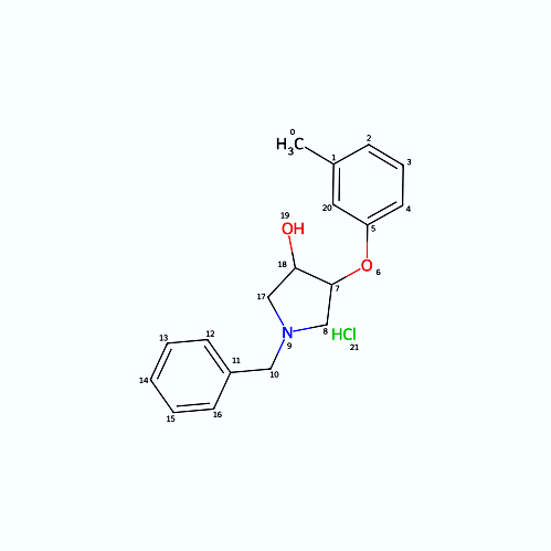 Cc1cccc(OC2CN(Cc3ccccc3)CC2O)c1.Cl